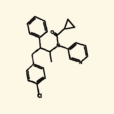 CC(C(Cc1ccc(Cl)cc1)c1ccccc1)N(C(=O)C1CC1)c1cccnc1